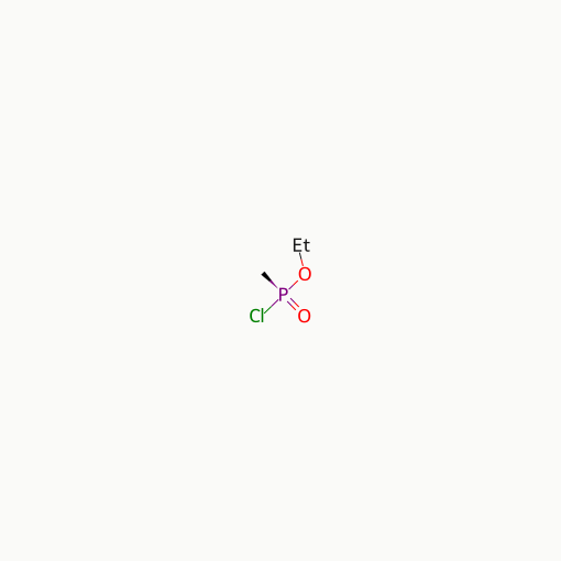 CCO[P@](C)(=O)Cl